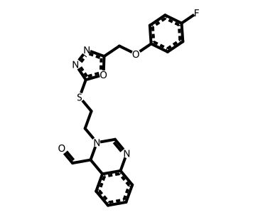 O=CC1c2ccccc2N=CN1CCSc1nnc(COc2ccc(F)cc2)o1